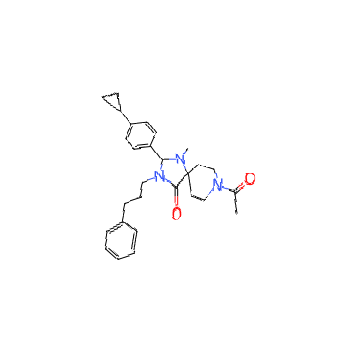 CC(=O)N1CCC2(CC1)C(=O)N(CCCc1ccccc1)C(c1ccc(C3CC3)cc1)N2C